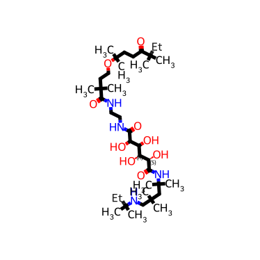 CCC(C)(C)NCC(C)(C)CC(C)(C)NC(=O)[C@@H](O)[C@H](O)C(O)C(O)C(=O)NCCNC(=O)C(C)(C)CCOC(C)(C)CCC(=O)C(C)(C)CC